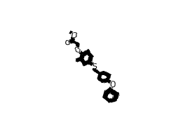 COC(=O)COc1ccc(SCc2ccc(Oc3ccccc3)cc2)cc1C